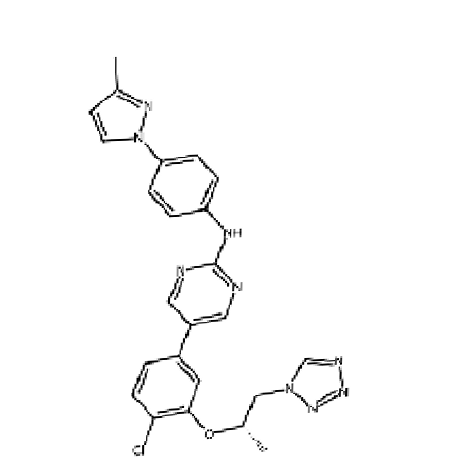 Cc1ccn(-c2ccc(Nc3ncc(-c4ccc(Cl)c(O[C@@H](C)Cn5cnnn5)c4)cn3)cc2)n1